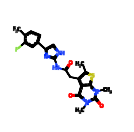 Cc1sc2c(c1CC(=O)Nc1nc(-c3ccc(C(F)(F)F)c(F)c3)c[nH]1)c(=O)n(C)c(=O)n2C